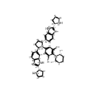 C[C@@H]1CCC[C@H](C)N1c1c(F)cc(N2[C@@H](c3ccc4nc([C@@H]5CCCN5)[nH]c4c3)CC[C@@H]2c2ccc3nc([C@@H]4CCCN4)[nH]c3c2)cc1F